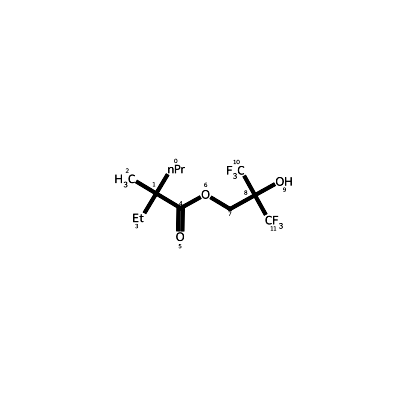 CCCC(C)(CC)C(=O)OCC(O)(C(F)(F)F)C(F)(F)F